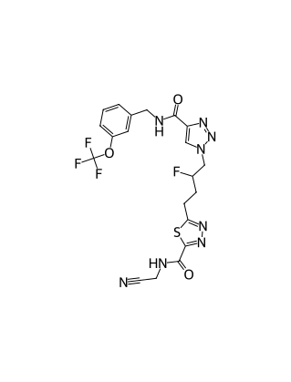 N#CCNC(=O)c1nnc(CCC(F)Cn2cc(C(=O)NCc3cccc(OC(F)(F)F)c3)nn2)s1